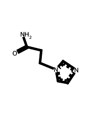 NC(=O)CCn1c[c]nc1